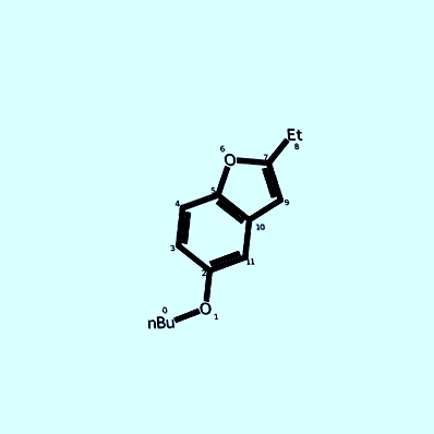 CCCCOc1ccc2oc(CC)cc2c1